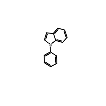 [c]1cn(-c2ccccc2)c2ccccc12